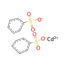 O=S(=O)([O-])c1ccccc1.O=S(=O)([O-])c1ccccc1.[Cd+2]